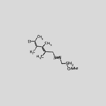 CC/C(C)=C(C)/C(C)=C(\C)CN=NC[SiH2]OC